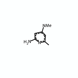 CNc1cc(C)nc(N)c1